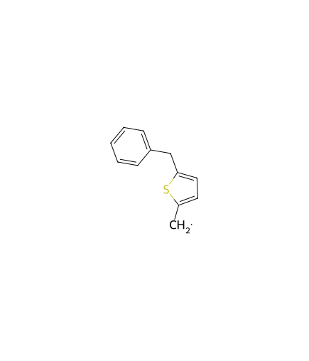 [CH2]c1ccc(Cc2ccccc2)s1